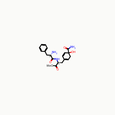 COC(=O)[C@H](CC1=CCC(O)(C(N)=O)C=C1)NC(=O)[C@@H](N)Cc1ccccc1